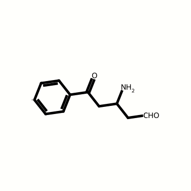 NC(CC=O)CC(=O)c1cc[c]cc1